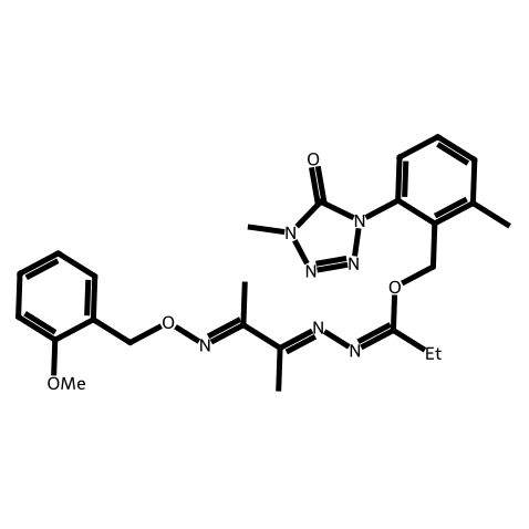 CCC(=NN=C(C)/C(C)=N/OCc1ccccc1OC)OCc1c(C)cccc1-n1nnn(C)c1=O